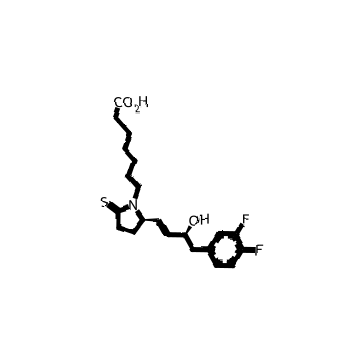 O=C(O)CCCCCCN1C(=S)CC[C@@H]1/C=C/[C@@H](O)Cc1ccc(F)c(F)c1